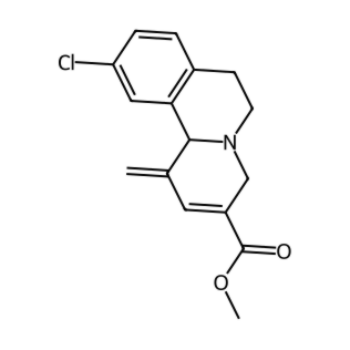 C=C1C=C(C(=O)OC)CN2CCc3ccc(Cl)cc3C12